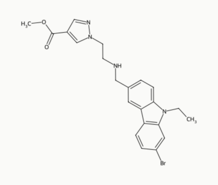 CCn1c2ccc(CNCCn3cc(C(=O)OC)cn3)cc2c2ccc(Br)cc21